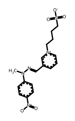 CN(N=Cc1ccc[n+](CCCCS(=O)(=O)[O-])c1)c1ccc([N+](=O)[O-])cc1